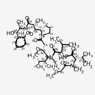 CC[C@H](C)[C@@H]([C@@H](CC(=O)N1CCC[C@H]1[C@H](OC)[C@@H](C)C(=O)N[C@H](C)[C@@H](O)c1ccccc1)OC)N(C)C(=O)[C@@H](NC(=O)[C@H](C(C)C)N(C)C(=O)COC)C(C)C